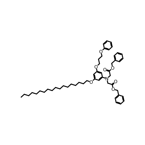 CCCCCCCCCCCCCCCCCCOc1cc(OCCCOc2ccccc2)cc(N(CC(=O)OCc2ccccc2)CC(=O)OCc2ccccc2)c1